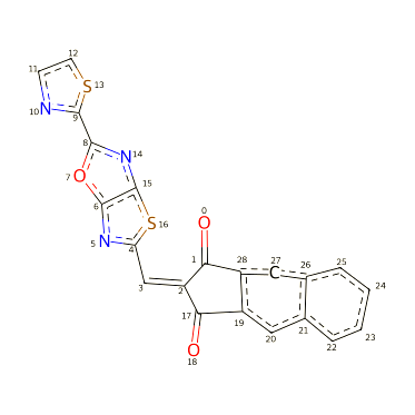 O=C1C(=Cc2nc3oc(-c4nccs4)nc3s2)C(=O)c2cc3ccccc3cc21